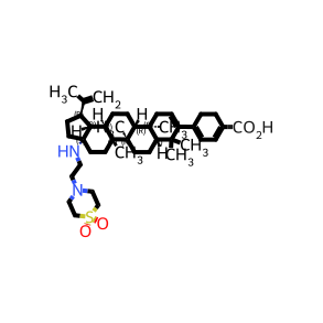 C=C(C)[C@@H]1CC[C@]2(NCCN3CCS(=O)(=O)CC3)CC[C@]3(C)[C@H](CC[C@@H]4[C@@]5(C)CC=C(C6=CC=C(C(=O)O)CC6)C(C)(C)[C@@H]5CC[C@]43C)[C@@H]12